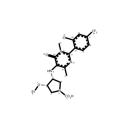 CCO[C@H]1CN(C(=O)O)C[C@H]1Nc1c(C)nc(-c2ccc(C(F)(F)F)cc2Cl)n(C)c1=O